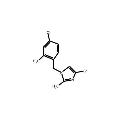 Cc1cc(Cl)ccc1Cn1cc(Br)nc1C